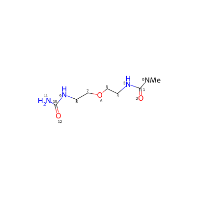 CNC(=O)NCCOCCNC(N)=O